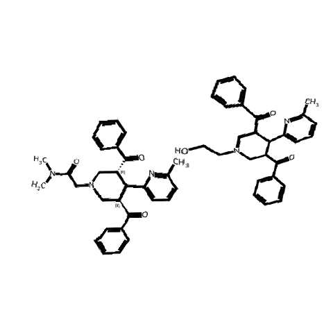 Cc1cccc(C2C(C(=O)c3ccccc3)CN(CCO)CC2C(=O)c2ccccc2)n1.Cc1cccc(C2[C@@H](C(=O)c3ccccc3)CN(CC(=O)N(C)C)C[C@@H]2C(=O)c2ccccc2)n1